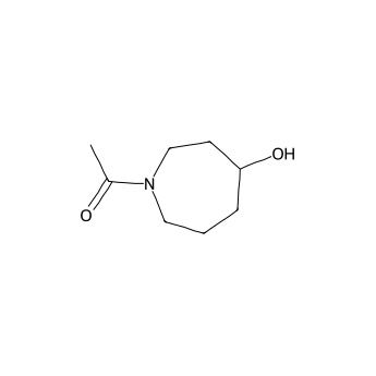 CC(=O)N1CCCC(O)CC1